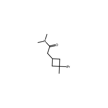 CC(C)C1(C)CC(CC(=O)N(C)C)C1